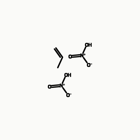 C=CC.O=[N+]([O-])O.O=[N+]([O-])O